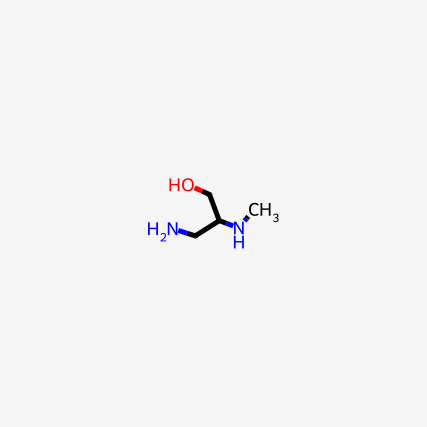 CNC(CN)CO